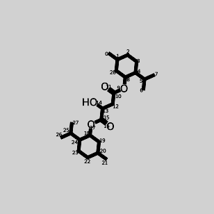 CC1CCC(C(C)C)C(OC(=O)CC(O)C(=O)OC2CC(C)CCC2C(C)C)C1